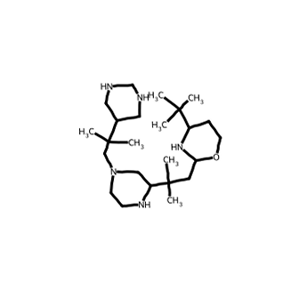 CC(C)(C)C1CCOC(CC(C)(C)C2CN(CC(C)(C)C3CNCNC3)CCN2)N1